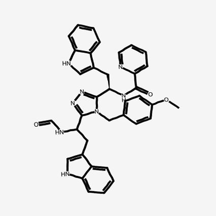 COc1ccc(Cn2c(C(Cc3c[nH]c4ccccc34)NC=O)nnc2[C@@H](Cc2c[nH]c3ccccc23)NC(=O)c2ccccn2)cc1